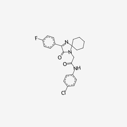 O=C(CN1C(=O)C(c2ccc(F)cc2)=NC12CCCCC2)Nc1ccc(Cl)cc1